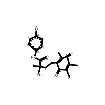 CC1=C(C)C(=O)C(CCC(C)(O)C(=O)Nc2ccc(Cl)cc2)=C(C)C1=O